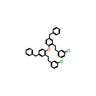 Clc1cccc(CCc2cc(Cc3ccccc3)ccc2Oc2ccc(Cc3ccccc3)cc2CCc2cccc(Cl)c2)c1